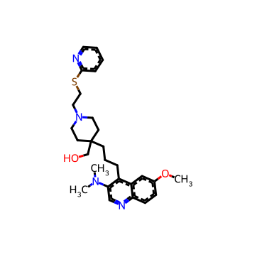 COc1ccc2ncc(N(C)C)c(CCCC3(CO)CCN(CCSc4ccccn4)CC3)c2c1